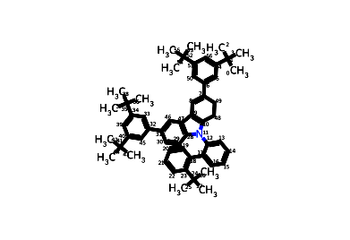 CC(C)(C)c1cc(C2=Cc3c(n(-c4ccccc4-c4c#cccc4C(C)(C)C)c4ccc(-c5cc(C(C)(C)C)cc(C(C)(C)C)c5)cc34)CC2)cc(C(C)(C)C)c1